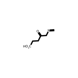 C=NCC(=O)CCC(=O)O